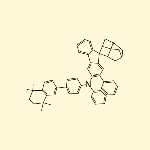 CC1(C)CCC(C)(C)c2cc(-c3ccc(N(c4ccccc4)c4cc5c(cc4-c4ccccc4)C4(c6ccccc6-5)C5CC6CC7CC4C75C6)cc3)ccc21